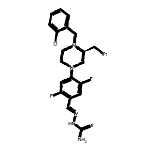 CC(C)C[C@H]1CN(c2cc(F)c(C=NNC(N)=S)cc2F)CCN1Cc1ccccc1Cl